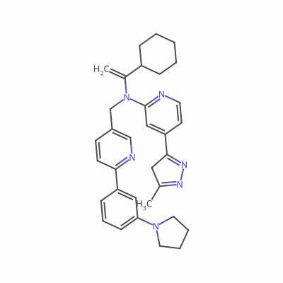 C=C(C1CCCCC1)N(Cc1ccc(-c2cccc(N3CCCC3)c2)nc1)c1cc(C2=NN=C(C)C2)ccn1